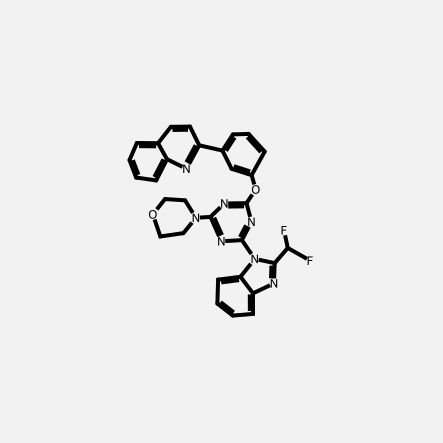 FC(F)c1nc2ccccc2n1-c1nc(Oc2cccc(-c3ccc4ccccc4n3)c2)nc(N2CCOCC2)n1